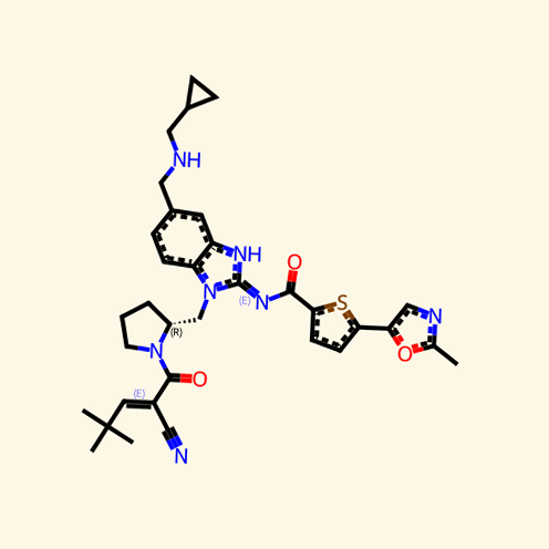 Cc1ncc(-c2ccc(C(=O)/N=c3\[nH]c4cc(CNCC5CC5)ccc4n3C[C@H]3CCCN3C(=O)/C(C#N)=C/C(C)(C)C)s2)o1